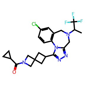 CC(N1Cc2cc(Cl)ccc2-n2c(nnc2C2CC3(C2)CN(C(=O)C2CC2)C3)C1)C(F)(F)F